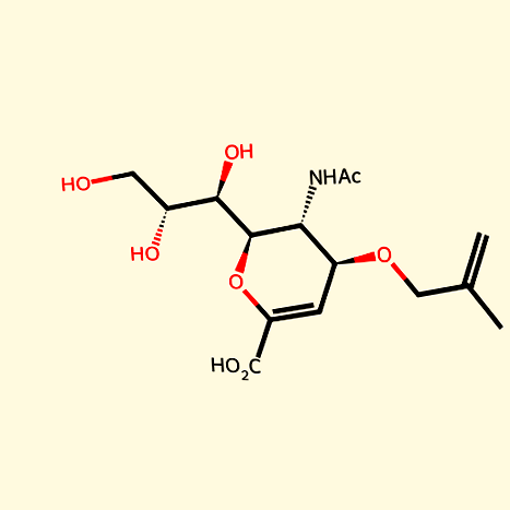 C=C(C)CO[C@H]1C=C(C(=O)O)O[C@@H]([C@H](O)[C@H](O)CO)[C@@H]1NC(C)=O